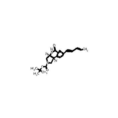 CC=CC=Cc1ccc2c(c1)C(=O)N[C@@H]1CN(C(=O)OC(C)(C)C)C[C@@H]21